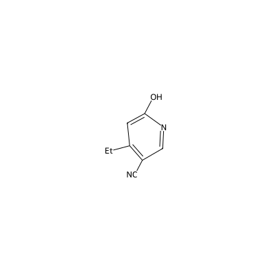 CCc1cc(O)ncc1C#N